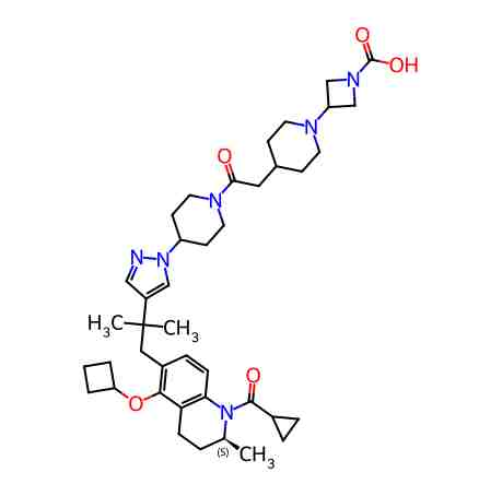 C[C@H]1CCc2c(ccc(CC(C)(C)c3cnn(C4CCN(C(=O)CC5CCN(C6CN(C(=O)O)C6)CC5)CC4)c3)c2OC2CCC2)N1C(=O)C1CC1